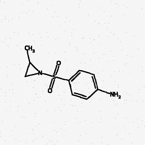 CC1CN1S(=O)(=O)c1ccc(N)cc1